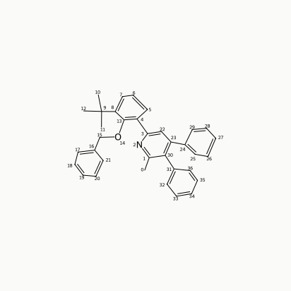 Cc1nc(-c2cccc(C(C)(C)C)c2OCc2ccccc2)cc(-c2ccccc2)c1-c1ccccc1